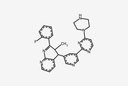 CC1C(c2ccccc2F)=Nc2ncccc2C1c1cncc(-c2nccc(N3CCNCC3)n2)c1